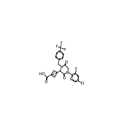 O=C1C(C23CC(C(=O)O)(C2)C3)N(Cc2ccc(C(F)(F)F)cc2)C(=O)CN1c1ncc(Cl)cc1F